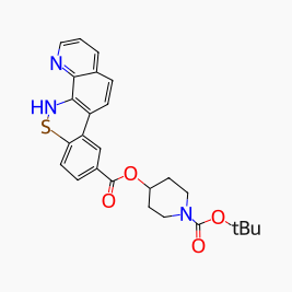 CC(C)(C)OC(=O)N1CCC(OC(=O)c2ccc3c(c2)-c2ccc4cccnc4c2NS3)CC1